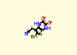 N#CCc1c(Br)sc2[nH]c(=O)c(=O)[nH]c12